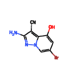 N#Cc1c(N)nn2cc(Br)cc(O)c12